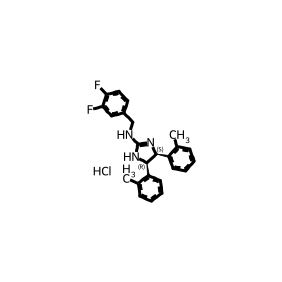 Cc1ccccc1[C@H]1NC(NCc2ccc(F)c(F)c2)=N[C@H]1c1ccccc1C.Cl